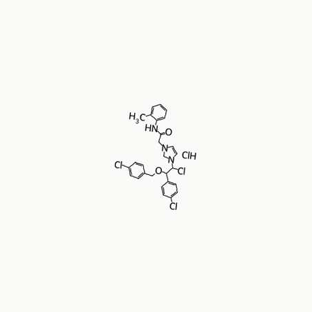 Cc1ccccc1NC(=O)CN1C=CN(C(Cl)C(OCc2ccc(Cl)cc2)c2ccc(Cl)cc2)C1.Cl